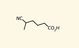 CC(C#N)CCCC(=O)O